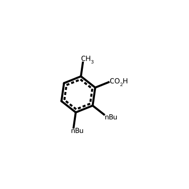 CCCCc1ccc(C)c(C(=O)O)c1CCCC